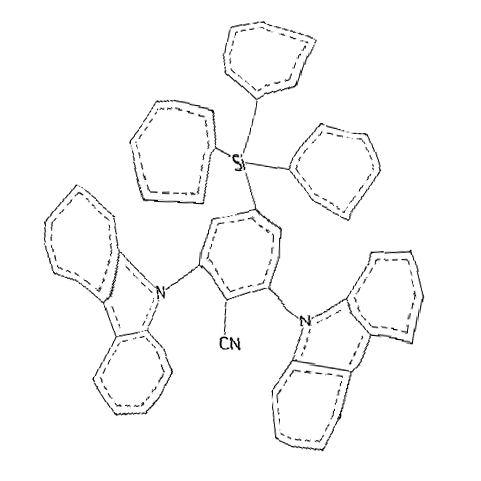 N#Cc1c(-n2c3ccccc3c3ccccc32)cc([Si](c2ccccc2)(c2ccccc2)c2ccccc2)cc1-n1c2ccccc2c2ccccc21